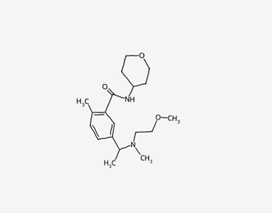 COCCN(C)C(C)c1ccc(C)c(C(=O)NC2CCOCC2)c1